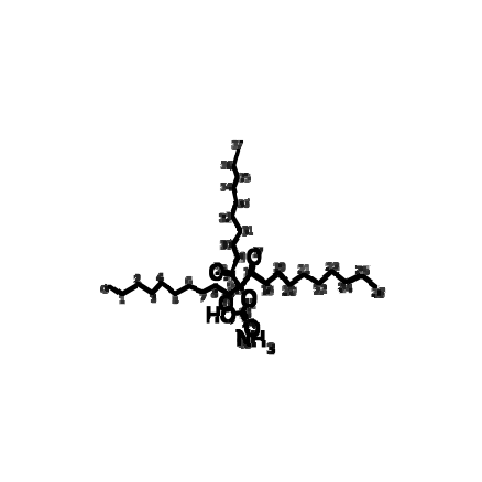 CCCCCCCCCC(=O)C(OC(=O)O)(C(=O)CCCCCCCCC)C(=O)CCCCCCCCC.N